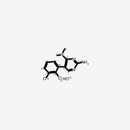 CN(C)c1nc(N)ncc1-c1cccc(Cl)c1Cl.Cl